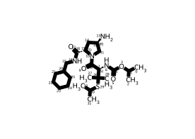 CC(C)OC(=O)N[C@@H](C(=O)N1C[C@H](N)C[C@H]1C(=O)NCC1CCCCC1)C(C)(C)SC(C)C